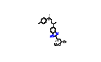 CCC(C[C@H](C)c1nc2cc(C(C)CC[C@@H](C)c3ccc(C)cc3)ccc2[nH]1)OC